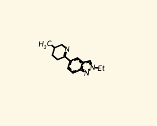 CCn1cc2cc(C3=NCC(C)CC3)ccc2n1